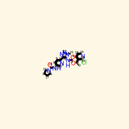 C[C@@H](OC(=O)Nc1c(-c2ccc(NC(=O)N3CCCC3)cn2)nnn1C)c1cccnc1Cl